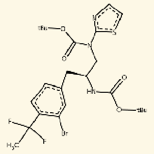 CC(C)(C)OC(=O)N[C@@H](Cc1ccc(C(C)(F)F)c(Br)c1)CN(C(=O)OC(C)(C)C)c1nccs1